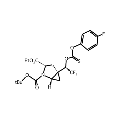 CCOC(=O)[C@@H]1C[C@]2([C@@H](OC(=S)Oc3ccc(F)cc3)C(F)(F)F)C[C@@H]2N1C(=O)OC(C)(C)C